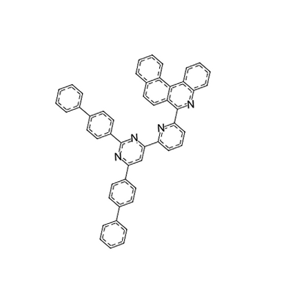 c1ccc(-c2ccc(-c3cc(-c4cccc(-c5nc6ccccc6c6c5ccc5ccccc56)n4)nc(-c4ccc(-c5ccccc5)cc4)n3)cc2)cc1